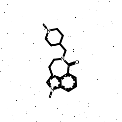 CN1CCC(CN2CCc3cn(C)c4cccc(c34)C2=O)CC1